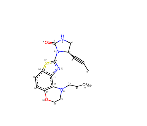 CC#C[C@@H]1CNC(=O)N1c1nc2c3c(ccc2s1)OCCN3CCOC